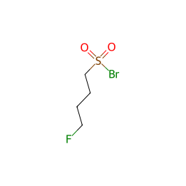 O=S(=O)(Br)CCCCF